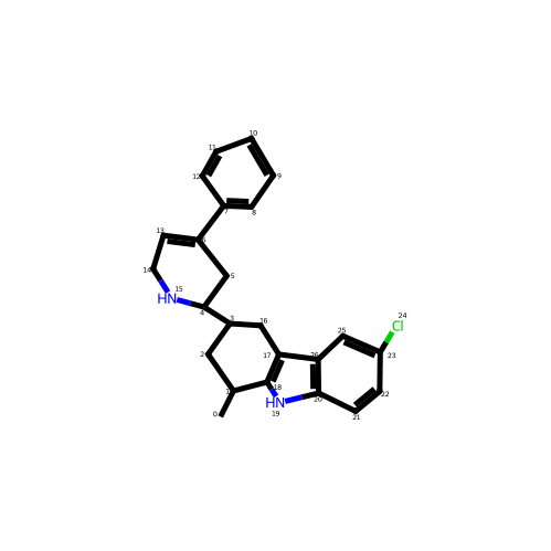 CC1CC(C2CC(c3ccccc3)=CCN2)Cc2c1[nH]c1ccc(Cl)cc21